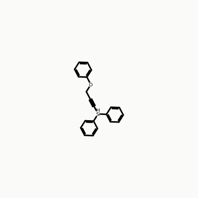 C(#C[SiH](c1ccccc1)c1ccccc1)COc1ccccc1